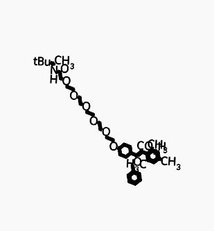 Cc1cc(C)c(/C(C(=O)O)=C(\OCc2ccccc2)C2CCC(OCCOCCOCCOCCOCCOCC(=O)NC(C)C(C)(C)C)CC2)c(C)c1